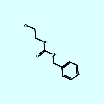 O=C(NCCCl)NCc1cc[c]cc1